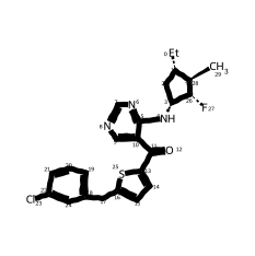 CC[C@H]1C[C@@H](Nc2ncncc2C(=O)c2ccc(Cc3cccc(Cl)c3)s2)[C@@H](F)[C@@H]1C